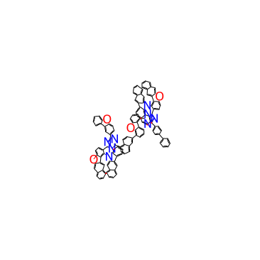 c1ccc(-c2ccc(-c3nc(-c4ccc5oc6cc7ccccc7cc6c5c4-n4c5cc6ccccc6cc5c5ccc6ccccc6c54)nc(-c4cccc5oc6c(-c7ccc8c(-c9nc(-c%10ccc%11oc%12ccccc%12c%11c%10)nc(-c%10ccc%11oc%12cc%13ccccc%13cc%12c%11c%10-n%10c%11ccccc%11c%11cc%12ccccc%12cc%11%10)n9)cccc8c7)cccc6c45)n3)cc2)cc1